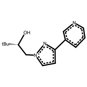 CC(C)(C)[C@H](O)Cn1ccc(-c2cccnc2)n1